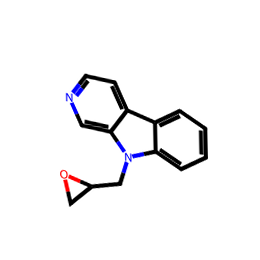 c1ccc2c(c1)c1ccncc1n2CC1CO1